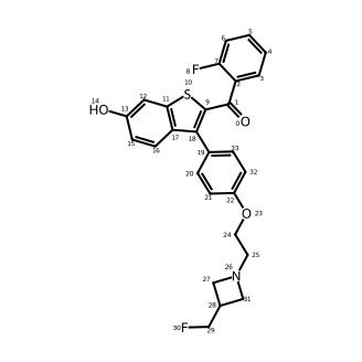 O=C(c1ccccc1F)c1sc2cc(O)ccc2c1-c1ccc(OCCN2CC(CF)C2)cc1